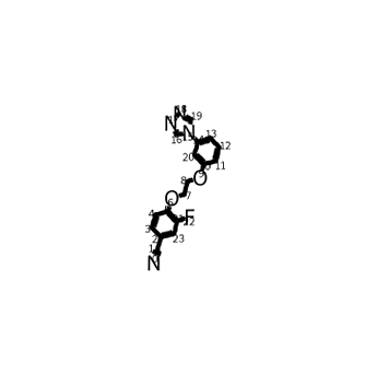 N#Cc1ccc(OCCOc2cccc(-n3cnnc3)c2)c(F)c1